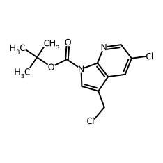 CC(C)(C)OC(=O)n1cc(CCl)c2cc(Cl)cnc21